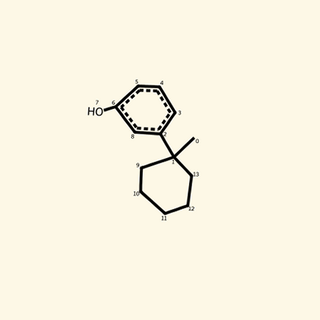 CC1(c2cccc(O)c2)CCCCC1